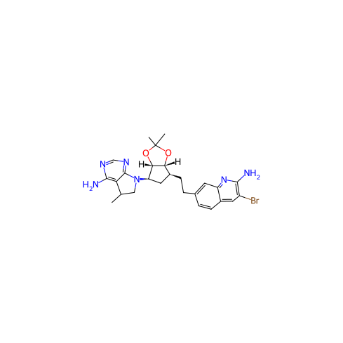 CC1CN([C@@H]2C[C@H](CCc3ccc4cc(Br)c(N)nc4c3)[C@H]3OC(C)(C)O[C@H]32)c2ncnc(N)c21